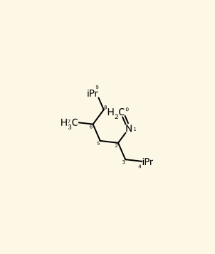 C=NC(CC(C)C)CC(C)CC(C)C